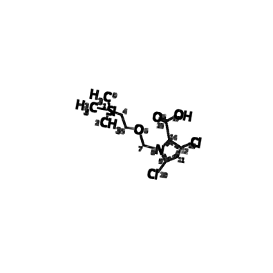 C[Si](C)(C)CCOCn1c(Cl)cc(Cl)c1C(=O)O